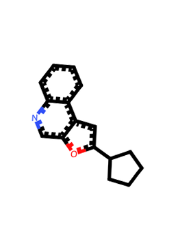 c1ccc2c(c1)ncc1oc(C3CCCC3)cc12